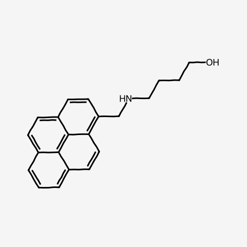 OCCCCNCc1ccc2ccc3cccc4ccc1c2c34